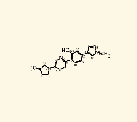 C=C1CCN(c2ncc(-c3ccc(-c4cnn(C)c4)cc3O)nn2)C1